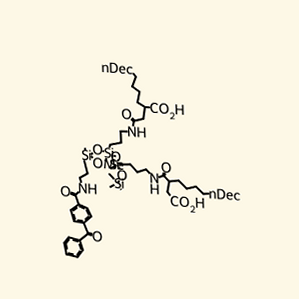 CCCCCCCCCCCCCCC(CC(=O)NCCC[Si](C)(O[Si](C)(CCCNC(=O)c1ccc(C(=O)c2ccccc2)cc1)OC)O[Si](C)(CCCNC(=O)C(CCCCCCCCCCCCCC)CC(=O)O)O[Si](C)(C)C)C(=O)O